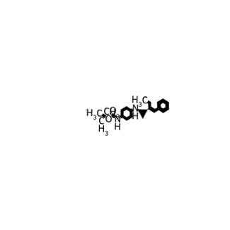 CC/C(=C\c1ccccc1)[C@@H]1C[C@H]1NC1CCC(NC(=O)OC(C)(C)C)CC1